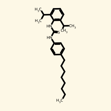 CCCCCCCCc1ccc(NC(=S)Nc2c(C(C)C)cccc2C(C)C)cc1